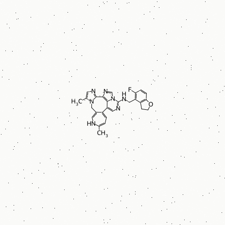 CC1=CC=C2C(=CN1)Cn1c(C)cnc1-c1ncn3c(NCc4c(F)ccc5c4CCO5)ncc2c13